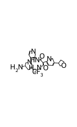 Nc1oc2cc(C3CCOC3)cnc2c1C(=O)Nc1cnccc1N1C[C@H](N)C[C@H](C(F)(F)F)C1